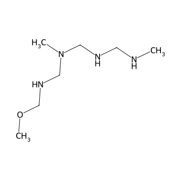 CNCNCN(C)CNCOC